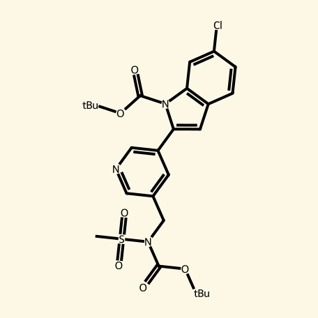 CC(C)(C)OC(=O)N(Cc1cncc(-c2cc3ccc(Cl)cc3n2C(=O)OC(C)(C)C)c1)S(C)(=O)=O